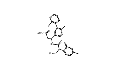 COC(=O)CC(NC(=O)C(CC(C)C)n1ccc(C)cc1=O)c1cnc(C)c(-c2ccccc2C)c1